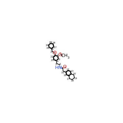 COc1cc(CCNC(=O)Cc2ccc3c(c2)CCCC3)ccc1OCc1ccccc1